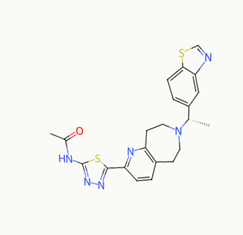 CC(=O)Nc1nnc(-c2ccc3c(n2)CCN([C@@H](C)c2ccc4scnc4c2)CC3)s1